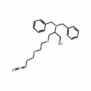 [N-]=[N+]=NCCOCCOCC(CO)N(Cc1ccccc1)Cc1ccccc1